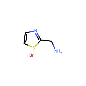 Br.NCc1nccs1